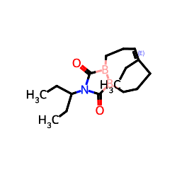 CC/C1=C\CCB2B(CCC1)C(=O)N(C(CC)CC)C2=O